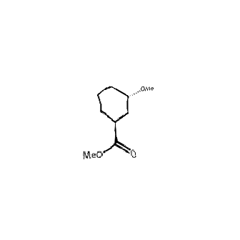 COC(=O)[C@H]1CCC[C@H](OC)C1